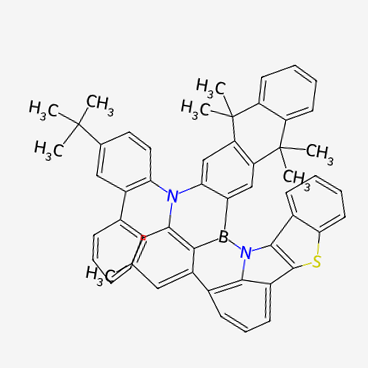 Cc1cc2c3c(c1)N(c1ccc(C(C)(C)C)cc1-c1ccccc1)c1cc4c(cc1B3n1c3c-2cccc3c2sc3ccccc3c21)C(C)(C)c1ccccc1C4(C)C